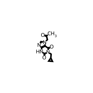 CC(=O)Cn1cnc2[nH]c(=O)n(CC3CC3)c(=O)c21